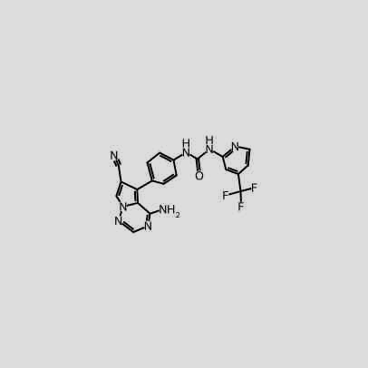 N#Cc1cn2ncnc(N)c2c1-c1ccc(NC(=O)Nc2cc(C(F)(F)F)ccn2)cc1